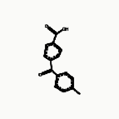 Cc1ccc(C(=O)c2ccc(C(=O)O)cc2)cc1